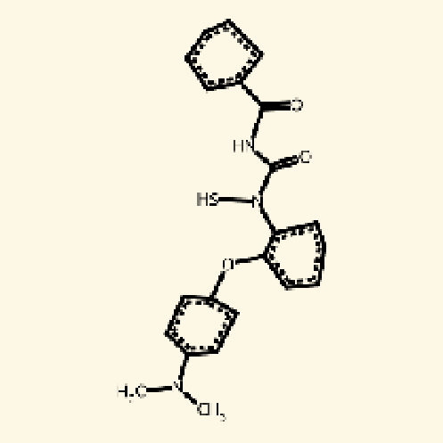 CN(C)c1ccc(Oc2ccccc2N(S)C(=O)NC(=O)c2ccccc2)cc1